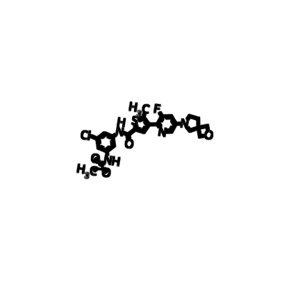 Cc1sc(C(=O)Nc2cc(Cl)cc(NS(C)(=O)=O)c2)cc1-c1ncc(N2CCC3(COC3)C2)cc1F